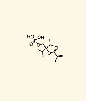 C=C(C)C(=O)OC(COP(=O)(O)O)(C(C)C)C(C)C